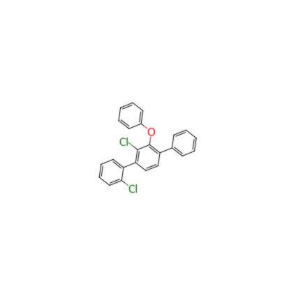 Clc1ccccc1-c1ccc(-c2ccccc2)c(Oc2ccccc2)c1Cl